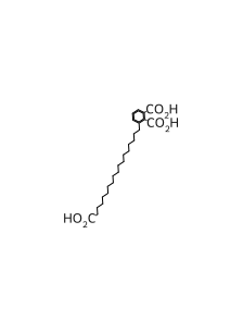 O=C(O)CCCCCCCCCCCCCCCCCc1cccc(C(=O)O)c1C(=O)O